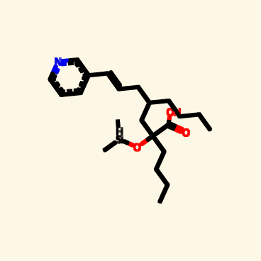 CCCCC(CC=Cc1cccnc1)CC(CCCC)(O[SiH](C)C)C(=O)O